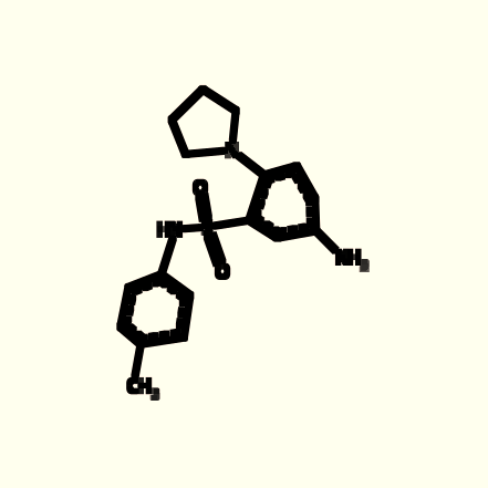 Cc1ccc(NS(=O)(=O)c2cc(N)ccc2N2CCCC2)cc1